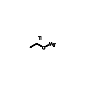 CC[O][Mg].[Ti]